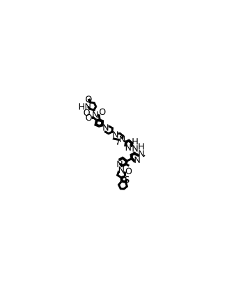 CNc1ncc(-c2ccnc(N3CCc4c(sc5c4CCCC5)C3=O)c2C)cc1Nc1ccc(N2CCN(C3CCN(c4ccc5c(c4)C(=O)N(C4CCC(=O)NC4=O)C5=O)CC3)C[C@@H]2C)cn1